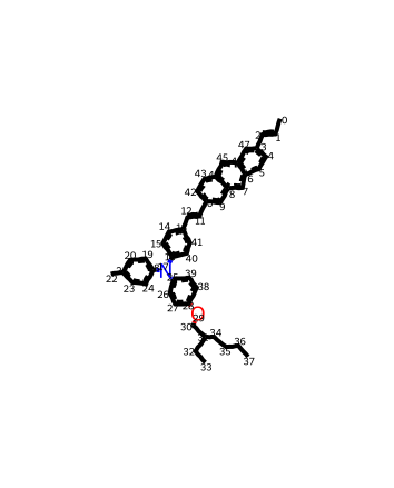 CC=Cc1ccc2cc3cc(C=Cc4ccc(N(c5ccc(C)cc5)c5ccc(OCC(CC)CCCC)cc5)cc4)ccc3cc2c1